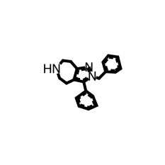 c1ccc(Cn2nc3c(c2-c2ccccc2)CCNCC3)cc1